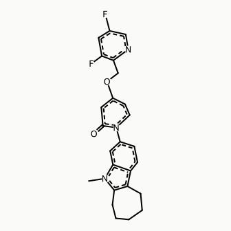 Cn1c2c(c3ccc(-n4ccc(OCc5ncc(F)cc5F)cc4=O)cc31)CCCCC2